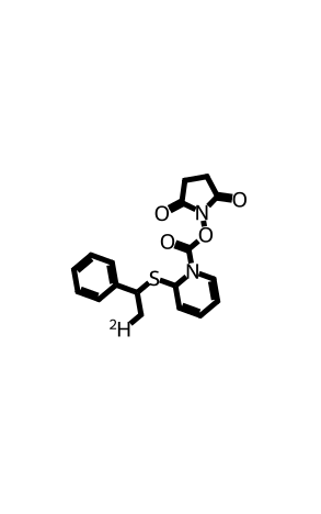 [2H]CC(SC1C=CC=CN1C(=O)ON1C(=O)CCC1=O)c1ccccc1